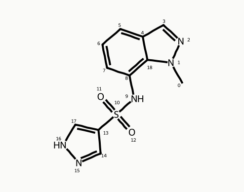 Cn1ncc2cccc(NS(=O)(=O)c3cn[nH]c3)c21